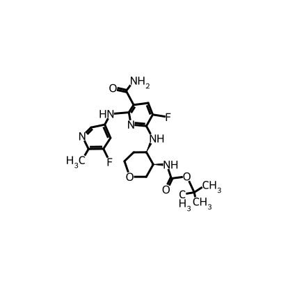 Cc1ncc(Nc2nc(N[C@@H]3CCOC[C@@H]3NC(=O)OC(C)(C)C)c(F)cc2C(N)=O)cc1F